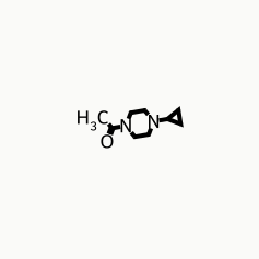 CC(=O)N1CCN(C2CC2)CC1